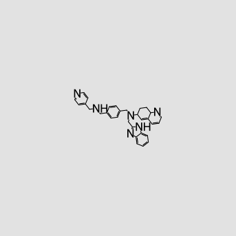 C1=CC2=CC(N(Cc3ccc(CNCc4ccncc4)cc3)Cc3nc4ccccc4[nH]3)CCC2N=C1